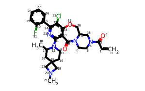 C=CC(=O)N1CCN2C(=O)c3c(N4CCC5(CC4C)CN(C)C5)nc(-c4ccccc4F)c(Cl)c3OCC2C1